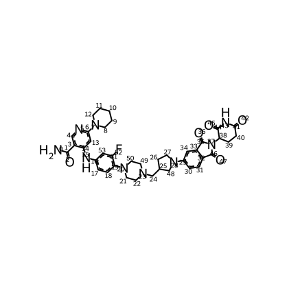 NC(=O)c1cnc(N2CCCCC2)cc1Nc1ccc(N2CCN(CC3CCN(c4ccc5c(c4)C(=O)N(C4CCC(=O)NC4=O)C5=O)C3)CC2)c(F)c1